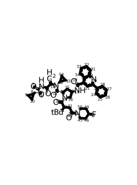 C=C(C(=O)NS(=O)(=O)C1CC1)N(C(=O)[C@@H]1C[C@@H](NC(=O)c2cc(-c3ccccc3)nc3ccccc23)CN1C(=O)C(CC(=O)N1CCC(F)CC1)C(C)(C)C)C1CC1